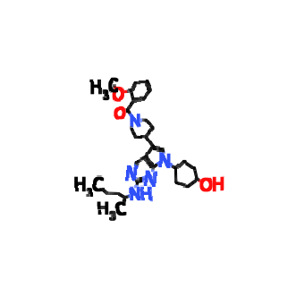 CCC[C@H](C)Nc1ncc2c(C3CCN(C(=O)c4ccccc4OC)CC3)cn(C3CCC(O)CC3)c2n1